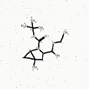 CCOC(O)C1CC2(C)CC2N1C(=O)OC(C)(C)C